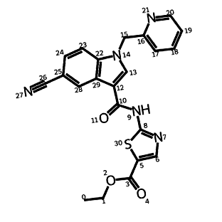 CCOC(=O)c1cnc(NC(=O)c2cn(Cc3ccccn3)c3ccc(C#N)cc23)s1